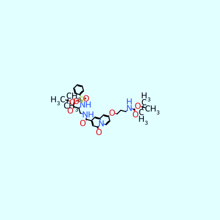 CC(C)(C)OC(=O)NCCCOc1ccn2c(=O)cc(C(=O)NCC(NS(=O)(=O)c3ccccc3)C(=O)OC(C)(C)C)cc2c1